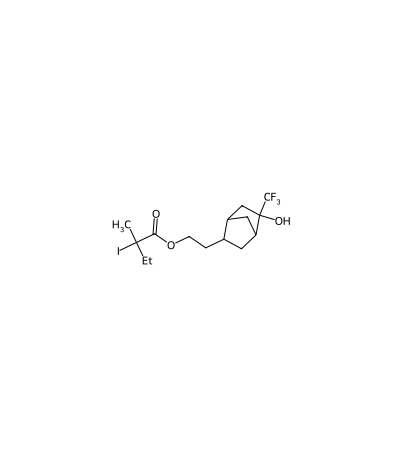 CCC(C)(I)C(=O)OCCC1CC2CC1CC2(O)C(F)(F)F